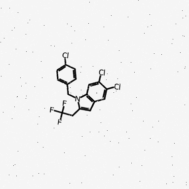 FC(F)(F)Cc1cc2cc(Cl)c(Cl)cc2n1Cc1ccc(Cl)cc1